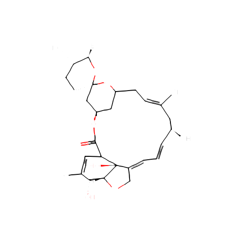 CC[C@H]1O[C@]2(CC[C@@H]1C)C[C@@H]1CC(C/C=C(\C)C[C@@H](C)/C=C/C=C3\CO[C@@H]4[C@H](O)C(C)=CC(C(=O)O1)[C@]34O)O2